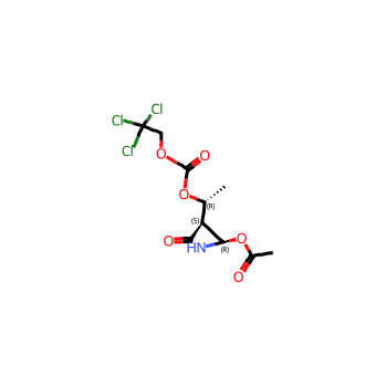 CC(=O)O[C@H]1NC(=O)[C@H]1[C@@H](C)OC(=O)OCC(Cl)(Cl)Cl